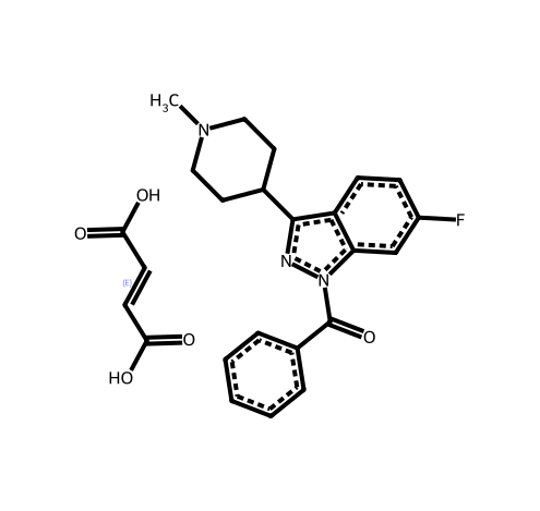 CN1CCC(c2nn(C(=O)c3ccccc3)c3cc(F)ccc23)CC1.O=C(O)/C=C/C(=O)O